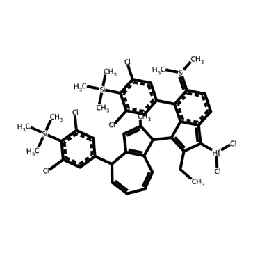 CCC1=C(C2C(C)=CC3=C2C=CC=CC3c2cc(Cl)c([Si](C)(C)C)c(Cl)c2)c2c(-c3cc(Cl)c([Si](C)(C)C)c(Cl)c3)c(=[Si](C)C)ccc2=[C]1[Hf]([Cl])[Cl]